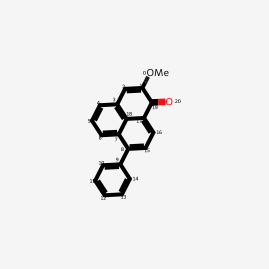 COC1=Cc2cccc3c(-c4ccccc4)ccc(c23)C1=O